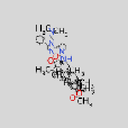 CC(=O)O[C@H]1CC[C@]2(C)[C@H]3CC[C@@H]4C5=C(C(C)C)C(=O)C[C@]5(NC(=O)N5CCC[C@H]5c5ncc(-c6ccccc6)n5CCN(C)C)CC[C@@]4(C)[C@]3(C)CC[C@H]2C1(C)C